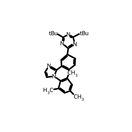 Cc1cc(C)c(-n2ccnc2-c2cccc(-c3nc(C(C)(C)C)nc(C(C)(C)C)n3)c2)c(C)c1